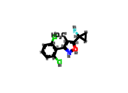 O=C(O)c1c(-c2c(Cl)cccc2Cl)noc1C1(F)CC1